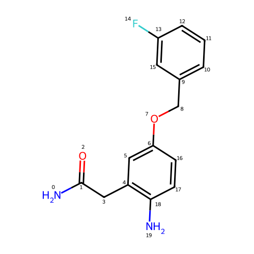 NC(=O)Cc1cc(OCc2cccc(F)c2)ccc1N